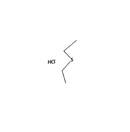 CCSCC.Cl